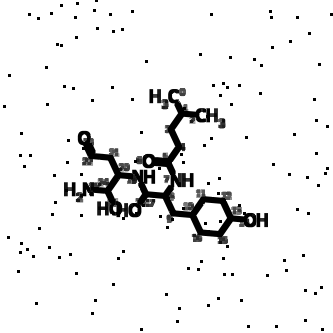 CC(C)CCC(=O)NC(CC1CCC(O)CC1)C(O)NC(CC=O)C(N)O